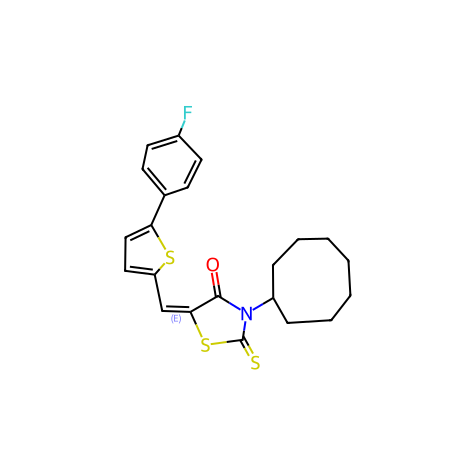 O=C1/C(=C\c2ccc(-c3ccc(F)cc3)s2)SC(=S)N1C1CCCCCCC1